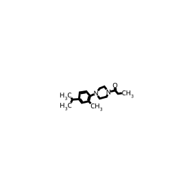 CCC(=O)N1CCN(c2ccc(C(C)C)cc2C)CC1